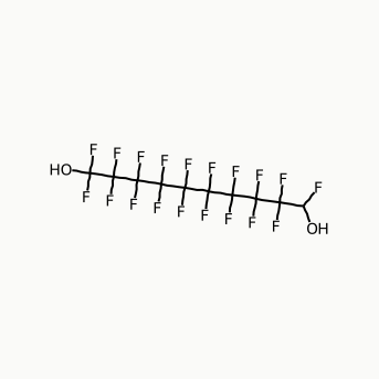 OC(F)C(F)(F)C(F)(F)C(F)(F)C(F)(F)C(F)(F)C(F)(F)C(F)(F)C(F)(F)C(O)(F)F